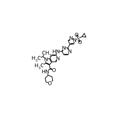 Cc1c(C(=O)NC2CCOCC2)c2cnc(Nc3ccnc(-c4cnn(S(=O)(=O)C5CC5)c4)n3)cc2n1C(C)C